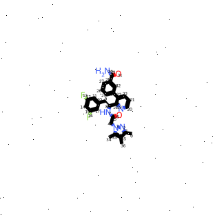 Cc1nn(CC(=O)N[C@@H](Cc2cc(F)cc(F)c2)c2ncccc2-c2cccc(C(N)=O)c2)c(C)c1C